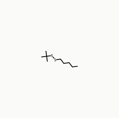 CCCCCSSC(C)(C)C